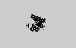 CC1(C)c2ccccc2-c2cccc(C3=CN=C(n4c5ccccc5c5ccc6c(ccn6-c6ccccc6)c54)N4CC=CC=C34)c21